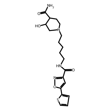 NC(=O)C1CCN(CCCCCNC(=O)c2cc(-c3cccs3)on2)CC1O